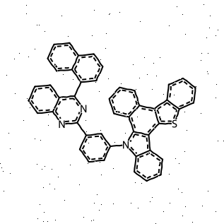 c1cc(-c2nc(-c3cccc4ccccc34)c3ccccc3n2)cc(-n2c3ccccc3c3c4sc5ccccc5c4c4ccccc4c32)c1